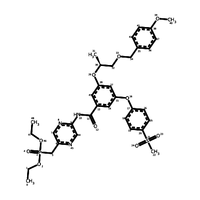 CCOP(=O)(Cc1cnc(NC(=O)c2cc(Oc3ccc(S(C)(=O)=O)cc3)cc(O[C@@H](C)COCc3ccc(OC)cc3)c2)cn1)OCC